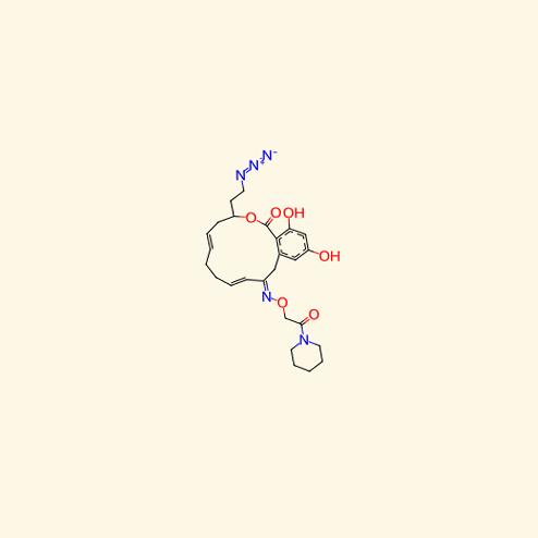 [N-]=[N+]=NCCC1C/C=C/CC/C=C/C(=NOCC(=O)N2CCCCC2)Cc2cc(O)cc(O)c2C(=O)O1